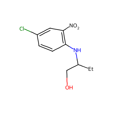 CCC(CO)Nc1ccc(Cl)cc1[N+](=O)[O-]